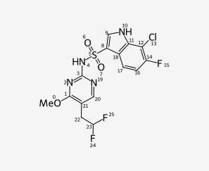 COc1nc(NS(=O)(=O)c2c[nH]c3c(Cl)c(F)ccc23)ncc1CC(F)F